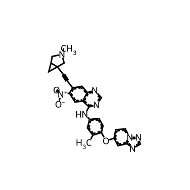 Cc1cc(Nc2ncnc3cc(C#CC45CC4CN(C)C5)c([N+](=O)[O-])cc23)ccc1Oc1ccn2ncnc2c1